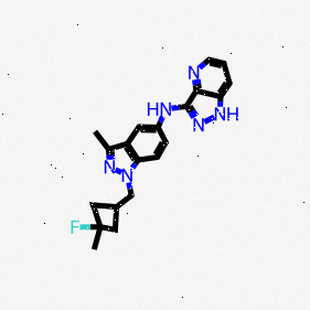 Cc1nn(CC2CC(C)(F)C2)c2ccc(Nc3n[nH]c4cccnc34)cc12